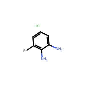 CCc1cccc(N)c1N.Cl